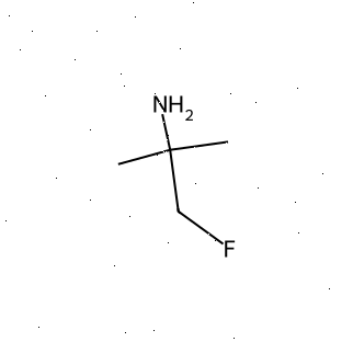 CC(C)(N)CF